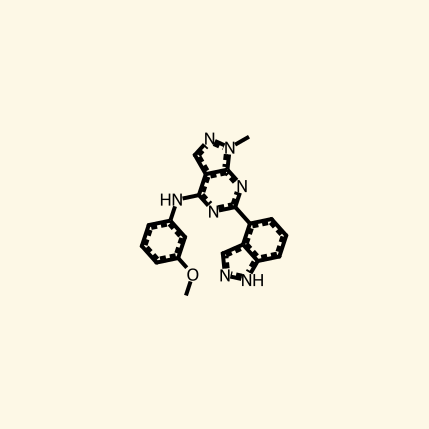 COc1cccc(Nc2nc(-c3cccc4[nH]ncc34)nc3c2cnn3C)c1